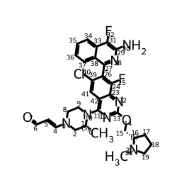 C[C@H]1CN(C=CC=O)CCN1c1nc(OC[C@@H]2CCCN2C)nc2c(F)c(-c3nc(N)c(F)c4ccccc34)c(Cl)cc12